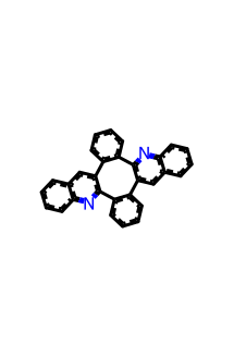 c1ccc2c(c1)-c1cc3ccccc3nc1-c1ccccc1-c1cc3ccccc3nc1-2